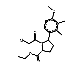 CCOC(=O)[C@@H]1CCC(c2ccc(OC)c(C)c2C)N1C(=O)CCl